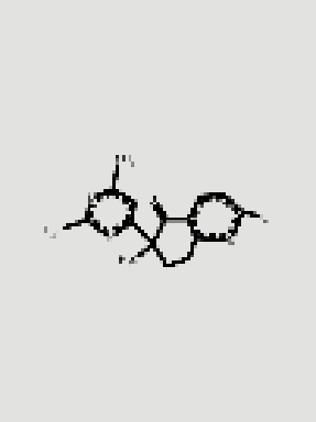 Cc1cc(C2(C)CCc3nc(Cl)ccc3C2=O)nc(C(F)(F)F)n1